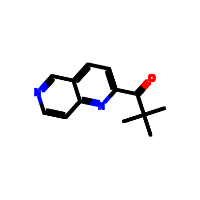 CC(C)(C)C(=O)c1ccc2cnccc2n1